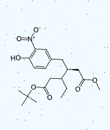 CCC(CC(=O)OC(C)(C)C)[C@H](CC(=O)OC)Cc1ccc(O)c([N+](=O)[O-])c1